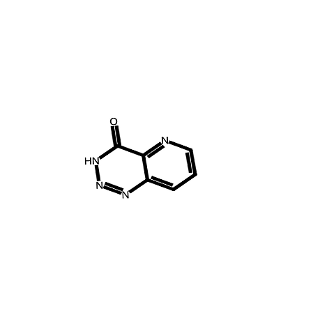 O=c1[nH]nnc2cccnc12